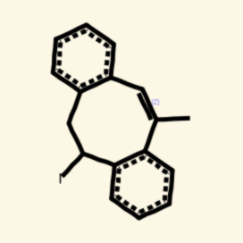 C/C1=C/c2ccccc2CC(I)c2ccccc21